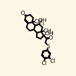 CC12CCC(=O)C=C1CCC1C2[C@@H](O)CC2(C)C1CC[C@]2(O)C(=O)CSc1ccc(Cl)c(Cl)c1